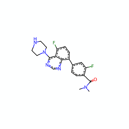 CN(C)C(=O)c1ccc(-c2ccc(F)c3c(N4CCNCC4)ncnc23)cc1F